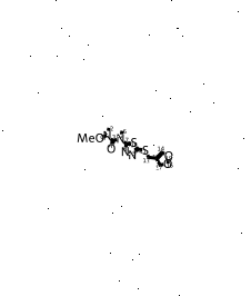 CON(C)C(=O)N(C)c1nnc(SCC2=COOC2)s1